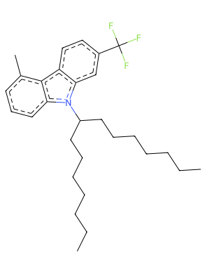 CCCCCCCC(CCCCCCC)n1c2cc(C(F)(F)F)ccc2c2c(C)cccc21